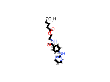 O=C(O)CCCC(=O)OCCNC(=O)c1ccc(Nc2ncccn2)cc1